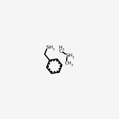 C[SiH2]C.[SiH3]Cc1ccccc1